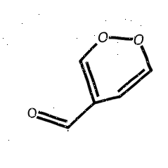 O=[C]C1=COOC=C1